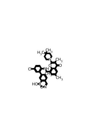 Cc1cc([C@@H](C)Nc2ccc(Cl)cc2-c2ccc3c(c2)B(O)ON=C3)c2oc(N3CCC(C)(C)CC3)c(C)c(=O)c2c1